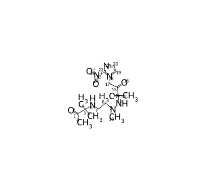 CC(=O)C(C)(C)NCCN(C)NC(C)(C)C(=O)Cn1ccnc1[N+](=O)[O-]